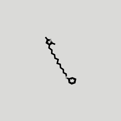 Cc1cc(CCCCCCCCCCCCSc2ccccc2)c(C)s1